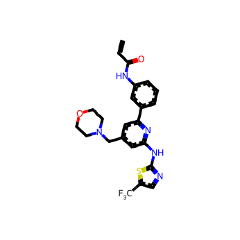 C=CC(=O)Nc1cccc(-c2cc(CN3CCOCC3)cc(Nc3ncc(C(F)(F)F)s3)n2)c1